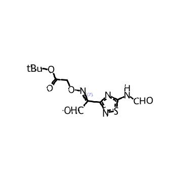 CC(C)(C)OC(=O)CO/N=C(\[C]=O)c1nsc(NC=O)n1